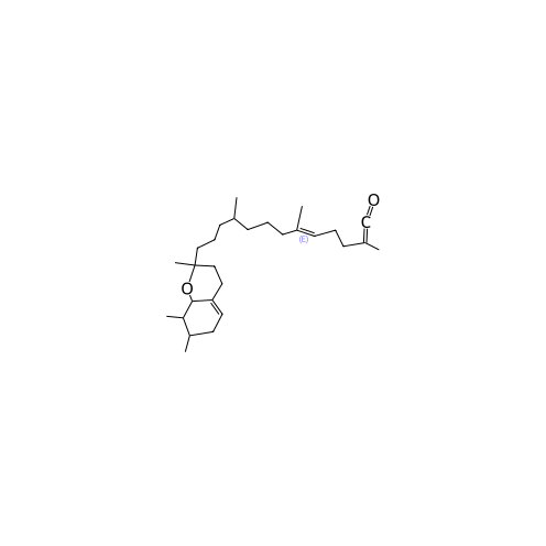 CC(=C=O)CC/C=C(\C)CCCC(C)CCCC1(C)CCC2=CCC(C)C(C)C2O1